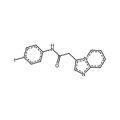 O=C(Cc1cnc2ccccn12)Nc1ccc(I)cc1